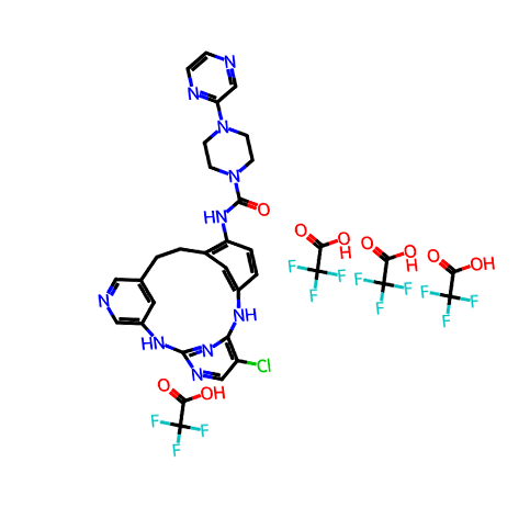 O=C(Nc1ccc2cc1CCc1cncc(c1)Nc1ncc(Cl)c(n1)N2)N1CCN(c2cnccn2)CC1.O=C(O)C(F)(F)F.O=C(O)C(F)(F)F.O=C(O)C(F)(F)F.O=C(O)C(F)(F)F